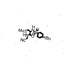 CSCC(NS(=O)(=O)c1ccc(C(C)(C)C)cc1)C(=O)NCC#N